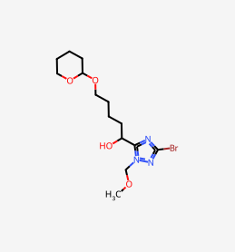 COCn1nc(Br)nc1C(O)CCCCOC1CCCCO1